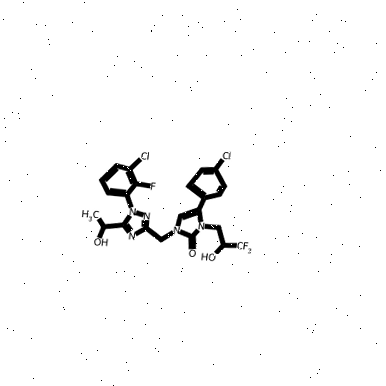 CC(O)c1nc(Cn2cc(-c3ccc(Cl)cc3)n(CC(O)C(F)(F)F)c2=O)nn1-c1cccc(Cl)c1F